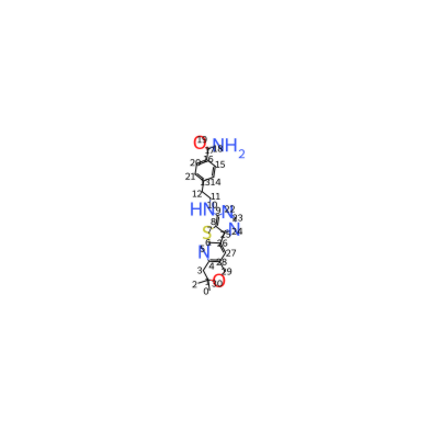 CC1(C)Cc2nc3sc4c(NCCc5ccc(C(N)=O)cc5)ncnc4c3cc2CO1